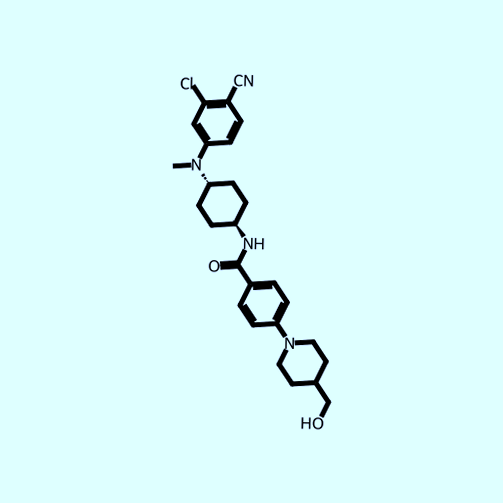 CN(c1ccc(C#N)c(Cl)c1)[C@H]1CC[C@H](NC(=O)c2ccc(N3CCC(CO)CC3)cc2)CC1